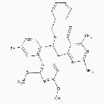 COc1ncc(-c2cc(F)ccc2C2Cc3nc(N)nc(C)c3C(=O)N2Cc2ccccc2)c(OC)n1